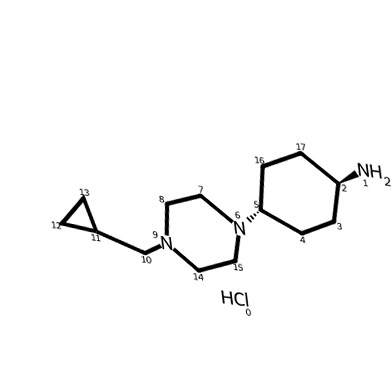 Cl.N[C@H]1CC[C@H](N2CCN(CC3CC3)CC2)CC1